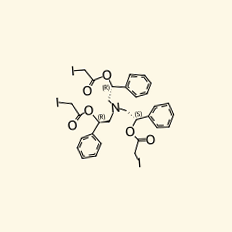 O=C(CI)O[C@@H](CN(C[C@H](OC(=O)CI)c1ccccc1)C[C@@H](OC(=O)CI)c1ccccc1)c1ccccc1